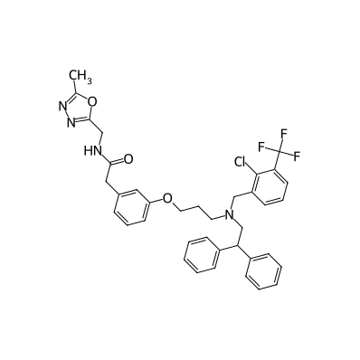 Cc1nnc(CNC(=O)Cc2cccc(OCCCN(Cc3cccc(C(F)(F)F)c3Cl)CC(c3ccccc3)c3ccccc3)c2)o1